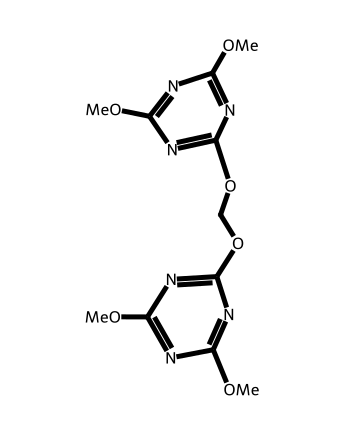 COc1nc(OC)nc(OCOc2nc(OC)nc(OC)n2)n1